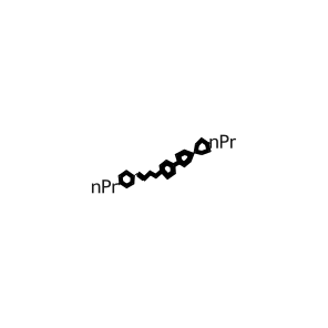 CCC[C@H]1CC[C@H](/C=C/CCc2ccc(-c3ccc([C@H]4CC[C@H](CCC)CC4)cc3)cc2)CC1